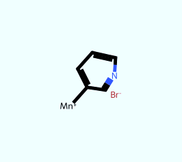 [Br-].[Mn+][c]1cccnc1